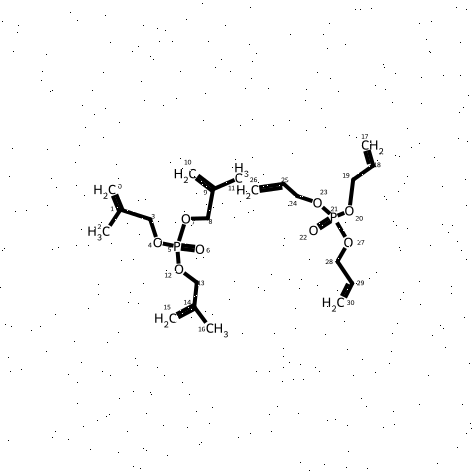 C=C(C)COP(=O)(OCC(=C)C)OCC(=C)C.C=CCOP(=O)(OCC=C)OCC=C